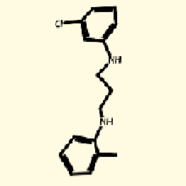 Cc1ccccc1NCCCNc1cccc(Cl)c1